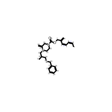 C=C(/C=C\C=C/C)COC(=O)N1CCN(CC(C)CSCc2ccccc2)C(=C)C1